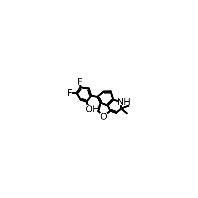 CC1(C)C=C2OCc3c(-c4cc(F)c(F)cc4O)ccc(c32)N1